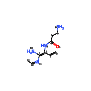 C=C/C(NC(=O)CCN)=C(N)\N=C/C